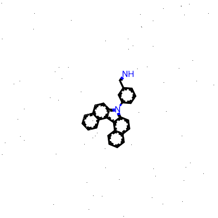 N=Cc1cccc(-n2c3ccc4ccccc4c3c3c4ccccc4ccc32)c1